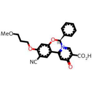 COCCCOc1cc2c(cc1C#N)-c1cc(=O)c(C(=O)O)cn1[C@H](c1ccccc1)O2